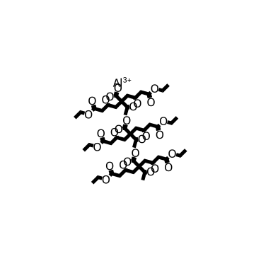 CCOC(=O)CC(=O)CC(CC(=O)CC(=O)OCC)(C(C)=O)C(=O)[O-].CCOC(=O)CC(=O)CC(CC(=O)CC(=O)OCC)(C(C)=O)C(=O)[O-].CCOC(=O)CC(=O)CC(CC(=O)CC(=O)OCC)(C(C)=O)C(=O)[O-].[Al+3]